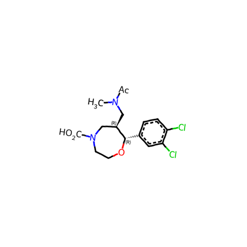 CC(=O)N(C)C[C@@H]1CN(C(=O)O)CCO[C@H]1c1ccc(Cl)c(Cl)c1